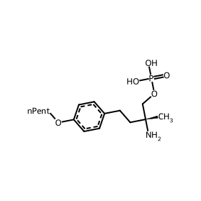 CCCCCOc1ccc(CC[C@@](C)(N)COP(=O)(O)O)cc1